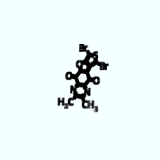 Cc1nc2c(nc1C)C(=O)c1c(oc3c(Br)sc(Br)c13)C2=O